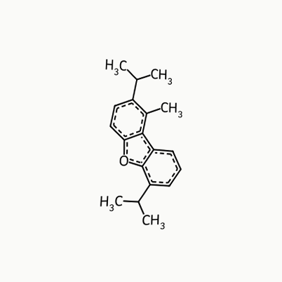 Cc1c(C(C)C)ccc2oc3c(C(C)C)cccc3c12